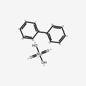 [O]=[Mo](=[O])([OH])[OH].c1ccc(-c2ccccc2)cc1